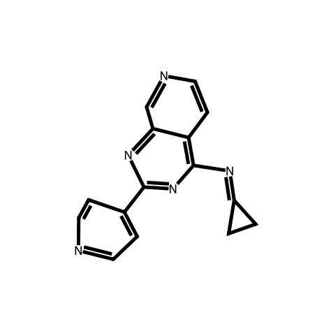 c1cc(-c2nc(N=C3CC3)c3ccncc3n2)ccn1